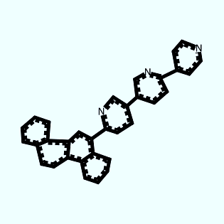 c1ccc2c(c1)ccc1c3ccccc3c(-c3ccc(-c4ccc(-c5ccncc5)nc4)cn3)cc21